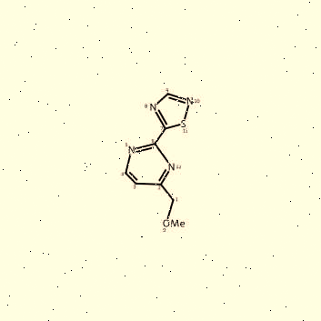 COCc1ccnc(-c2ncns2)n1